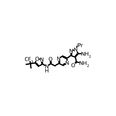 CC(C)n1nc(-c2cnc(CC(=O)Nc3cc(C(C)(C)C(F)(F)F)on3)cn2)c(C(N)=O)c1N